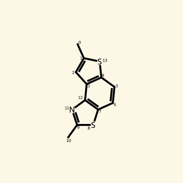 Cc1cc2c(ccc3sc(C)nc32)s1